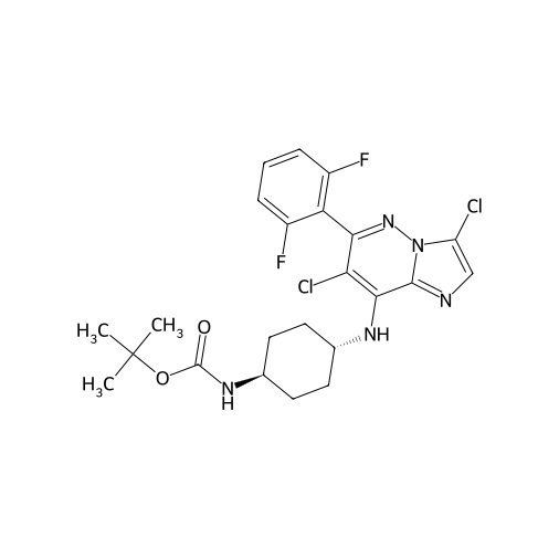 CC(C)(C)OC(=O)N[C@H]1CC[C@H](Nc2c(Cl)c(-c3c(F)cccc3F)nn3c(Cl)cnc23)CC1